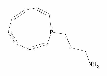 NCCCp1cccccccc1